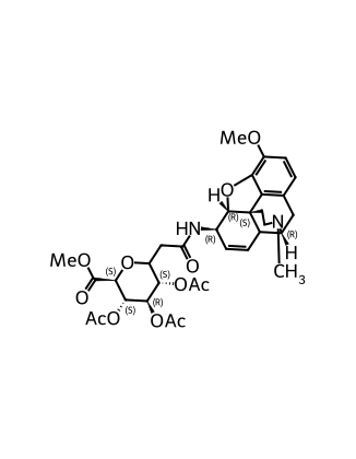 COC(=O)[C@H]1OC(CC(=O)N[C@@H]2C=CC3[C@H]4Cc5ccc(OC)c6c5[C@@]3(CCN4C)[C@H]2O6)[C@H](OC(C)=O)[C@@H](OC(C)=O)[C@@H]1OC(C)=O